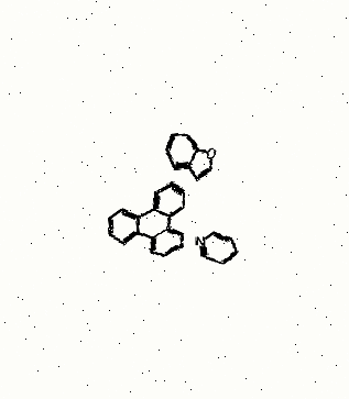 c1ccc2c(c1)c1ccccc1c1ccccc21.c1ccc2occc2c1.c1ccncc1